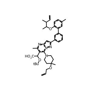 C=CCOC1(C)CCN(c2c(C(OC(C)(C)C)C(=O)O)c(C)nc3cc(-c4cccc(-c5cc(C)ccc5OC(C)C(C)C=C)c4)nn23)CC1